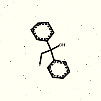 OC(CF)(c1ccccc1)c1ccccc1